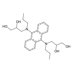 CCCN(CC(O)CO)c1c2ccccc2c(N(CCC)CC(O)CO)c2ccccc12